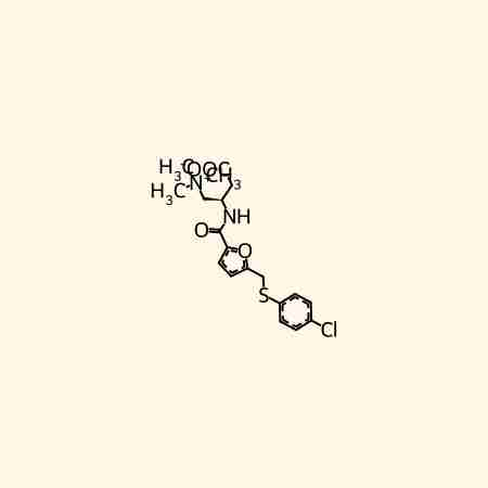 C[N+](C)(C)C[C@@H](CC(=O)[O-])NC(=O)c1ccc(CSc2ccc(Cl)cc2)o1